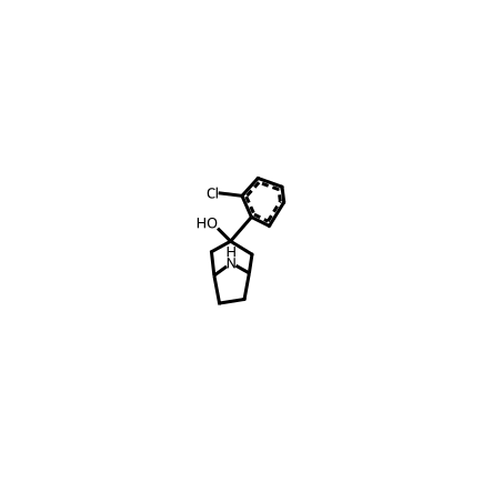 OC1(c2ccccc2Cl)CC2CCC(C1)N2